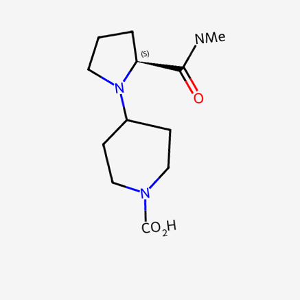 CNC(=O)[C@@H]1CCCN1C1CCN(C(=O)O)CC1